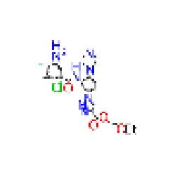 CCOCCOC(=O)c1cn(-c2ccc(N3CCN(C)CC3)c(NC(=O)c3cc(N)c(F)c(C)c3Cl)c2)nn1